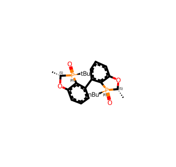 CCCC[P@@]1(=O)c2c(cccc2-c2cccc3c2[P@](=O)(C(C)(C)C)[C@@H](C)O3)O[C@@H]1C